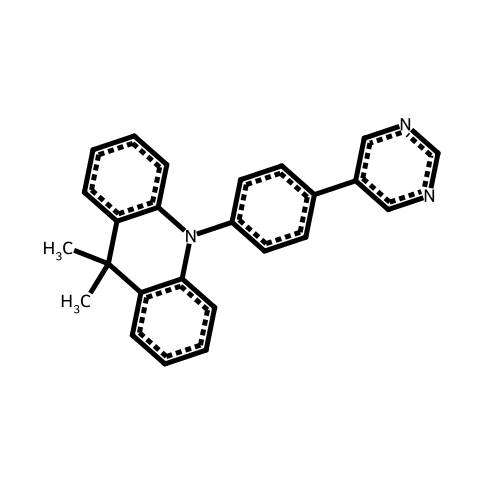 CC1(C)c2ccccc2N(c2ccc(-c3cncnc3)cc2)c2ccccc21